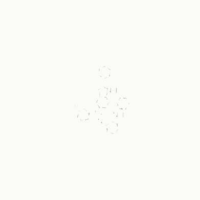 COc1ccc(CN2C(=O)C3(Nc4ccccc4-c4c3ccc3c(C)c(-c5ccccc5)[nH]c43)c3ccccc32)cc1